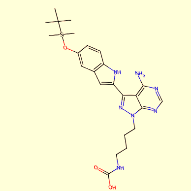 CC(C)(C)[Si](C)(C)Oc1ccc2[nH]c(-c3nn(CCCCNC(=O)O)c4ncnc(N)c34)cc2c1